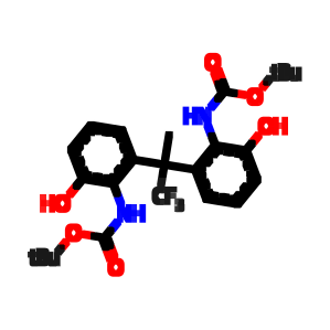 CC(C)(C)OC(=O)Nc1c(O)cccc1C(C)(c1cccc(O)c1NC(=O)OC(C)(C)C)C(F)(F)F